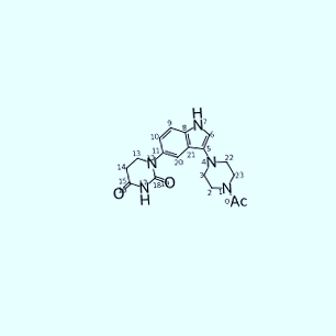 CC(=O)N1CCN(c2c[nH]c3ccc(N4CCC(=O)NC4=O)cc23)CC1